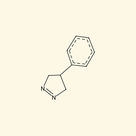 c1ccc(C2CN=NC2)cc1